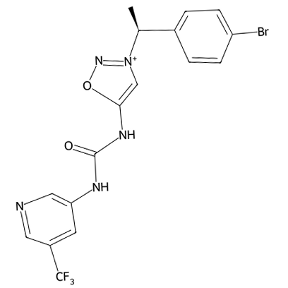 C[C@@H](c1ccc(Br)cc1)[n+]1cc(NC(=O)Nc2cncc(C(F)(F)F)c2)on1